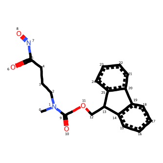 CN(CCCC(=O)N=O)C(=O)OCC1c2ccccc2-c2ccccc21